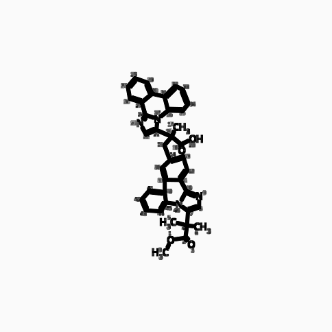 COC(=O)C(C)(C)c1cnc2c3ccc(CC(C)(C(=O)O)c4cnc5c6ccccc6c6ccccc6n45)cc3c3ccccc3n12